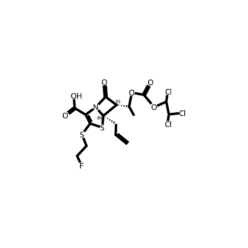 C=CC[C@]12SC(SCCF)=C(C(=O)O)N1C(=O)[C@@H]2C(C)OC(=O)OC(Cl)C(Cl)Cl